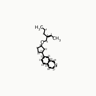 C/C=C(/CCC)COC1CCC(c2ccc3ccncc3c2)C1